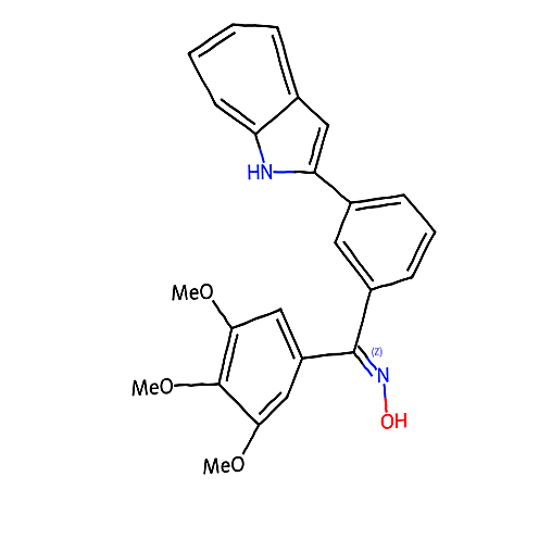 COc1cc(/C(=N\O)c2cccc(-c3cc4ccccc4[nH]3)c2)cc(OC)c1OC